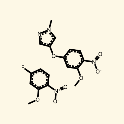 COc1cc(F)ccc1[N+](=O)[O-].COc1cc(Oc2cnn(C)c2)ccc1[N+](=O)[O-]